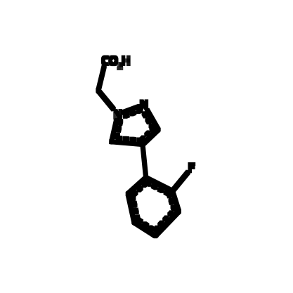 O=C(O)Cn1cc(-c2ccccc2F)cn1